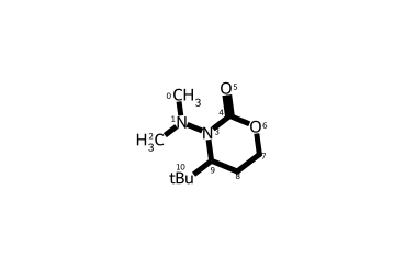 CN(C)N1C(=O)OCCC1C(C)(C)C